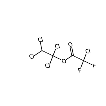 O=C(OC(Cl)(Cl)[C](Cl)Cl)C(F)(F)Cl